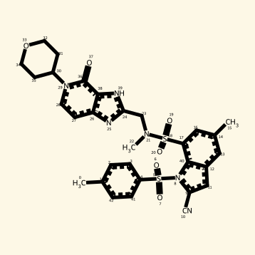 Cc1ccc(S(=O)(=O)n2c(C#N)cc3cc(C)cc(S(=O)(=O)N(C)Cc4nc5ccn(C6CCOCC6)c(=O)c5[nH]4)c32)cc1